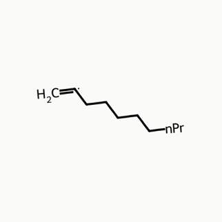 C=[C]CCCCCCCC